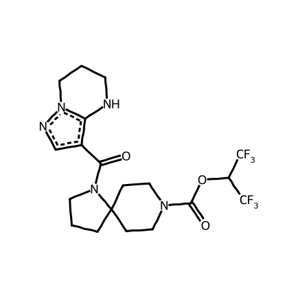 O=C(OC(C(F)(F)F)C(F)(F)F)N1CCC2(CCCN2C(=O)c2cnn3c2NCCC3)CC1